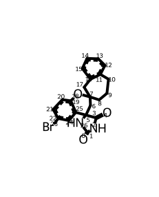 O=C1NC(=O)C2(CC3(CCCc4ccccc4C3)Oc3ccc(Br)cc32)N1